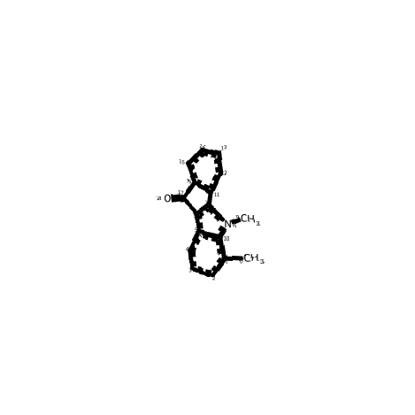 Cc1cccc2c3c(n(C)c12)-c1ccccc1C3=O